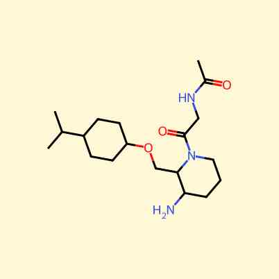 CC(=O)NCC(=O)N1CCCC(N)C1COC1CCC(C(C)C)CC1